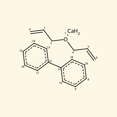 C=CCOCC=C.[CaH2].c1ccc(-c2ccccc2)cc1